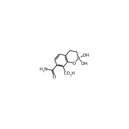 NC(=O)c1ccc2c(c1C(=O)O)O[B-](O)(O)CC2